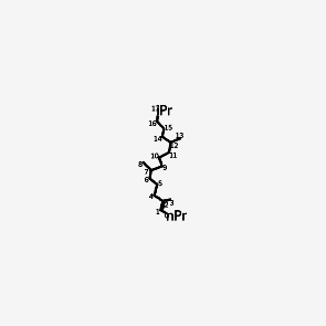 CCC/C=C(\C)CCCC(C)CCCC(C)CCCC(C)C